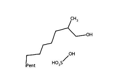 CCCC(C)CCCCCC(C)CO.O=S(=O)(O)O